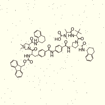 CC(C(=O)NC(C(=O)N1C[C@@H](NC(=O)c2ccc(NC(=O)c3ccc(CC(NC(=O)OCC4c5ccccc5-c5ccccc54)C(=O)N4C[Si](C)(C)CC4C(=O)N[C@@H]4CCCc5ccccc54)cc3)cc2)C[C@H]1C(=O)N[C@@H]1CCCc2ccccc21)C(C)(C)C)N(C)C(=O)O